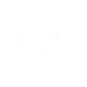 O=C(O)CCC/C=C(/c1ccc(CCNS(=O)(=O)c2ccc(Cl)s2)cc1)c1cccnc1